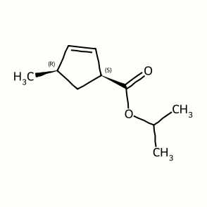 CC(C)OC(=O)[C@@H]1C=C[C@H](C)C1